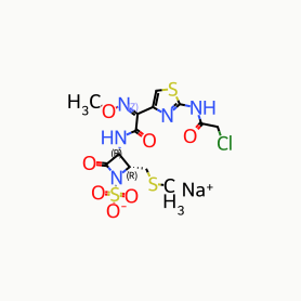 CO/N=C(\C(=O)N[C@H]1C(=O)N(S(=O)(=O)[O-])[C@H]1CSC)c1csc(NC(=O)CCl)n1.[Na+]